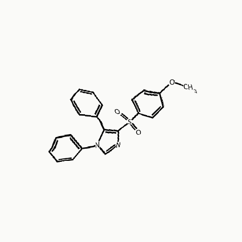 COc1ccc(S(=O)(=O)c2ncn(-c3ccccc3)c2-c2ccccc2)cc1